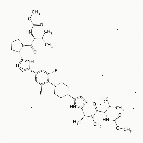 COC(=O)N[C@H](C(=O)N(C)[C@@H](C)c1ncc(C2CCN(c3c(F)cc(-c4cnc([C@@H]5CCCN5C(=O)[C@@H](NC(=O)OC)C(C)C)[nH]4)cc3F)CC2)[nH]1)C(C)C